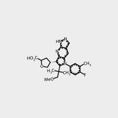 COCC(C)(C)c1c([C@@H]2COC(C(=O)O)C2)c2nc3[nH]ncc3cc2n1-c1ccc(F)c(C)c1